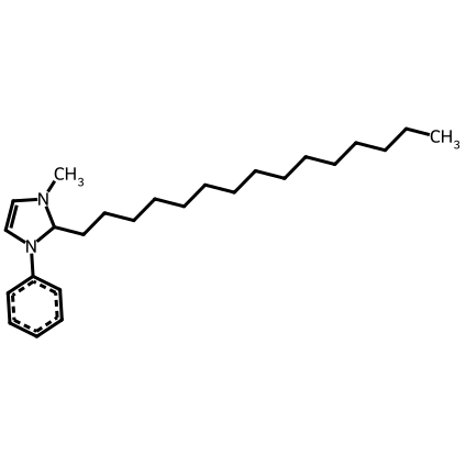 CCCCCCCCCCCCCCCC1N(C)C=CN1c1ccccc1